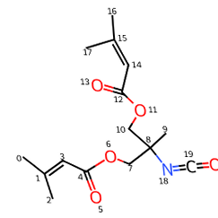 CC(C)=CC(=O)OCC(C)(COC(=O)C=C(C)C)N=C=O